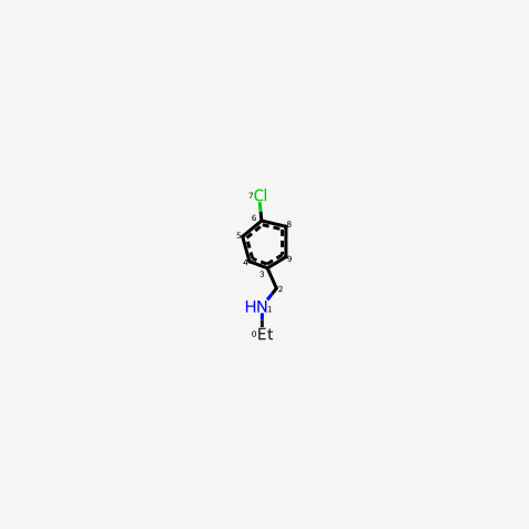 [CH2]CNCc1ccc(Cl)cc1